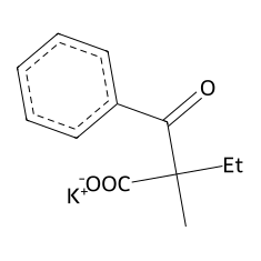 CCC(C)(C(=O)[O-])C(=O)c1ccccc1.[K+]